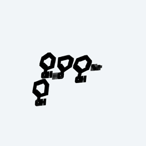 Oc1ccccc1.Oc1ccccc1.Oc1ccccc1.Oc1ccccc1.[Na]